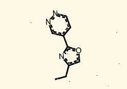 CCc1coc(-c2ccnnc2)n1